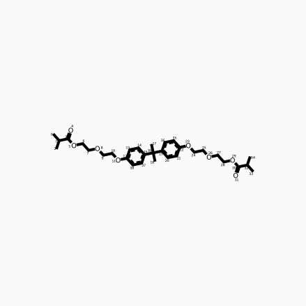 CC(C)C(=O)OCCOCCOc1ccc(C(C)(C)c2ccc(OCCOCCOC(=O)C(C)C)cc2)cc1